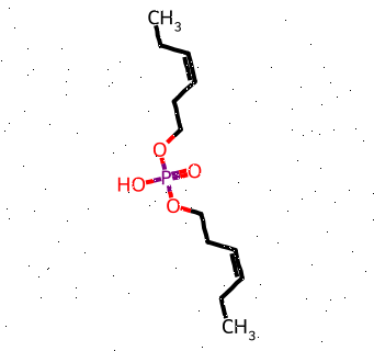 CC/C=C\CCOP(=O)(O)OCC/C=C\CC